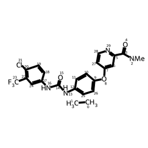 CC.CNC(=O)c1cc(Oc2ccc(NC(=O)Nc3ccc(Cl)c(C(F)(F)F)c3)cc2)ccn1